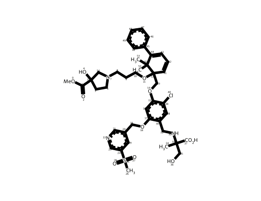 COC(=O)C1(O)CCN(CCCOC2(COc3cc(OCc4cncc(S(C)(=O)=O)c4)c(CNC(C)(CO)C(=O)O)cc3Cl)C=CC=C(c3ccccc3)C2(C)C)C1